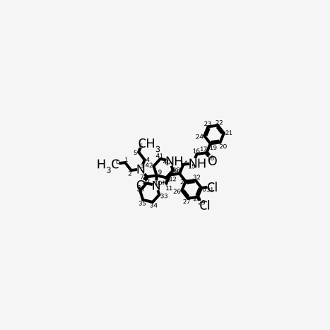 CCCN(CCC)C(=O)C1([N+]2(CCC(CNCC(=O)c3ccccc3)c3ccc(Cl)c(Cl)c3)CCCCC2)CCNCC1